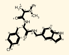 CC(C)N(C)C(C)C(=O)N[C@@H](Cc1ccc(Cl)cc1)C(=O)NCc1cnc2[nH]ccc2c1